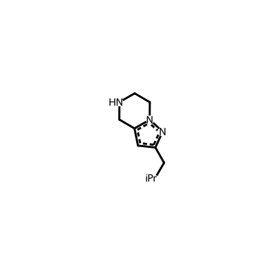 CC(C)Cc1cc2n(n1)CCNC2